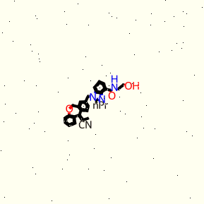 CCCc1nc2c(C(=O)NCCO)cccc2n1Cc1ccc2c(c1)COc1ccccc1C2=C(C)C#N